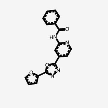 O=C(Nc1cc(-c2nnc(-c3ccco3)o2)ccn1)c1ccccc1